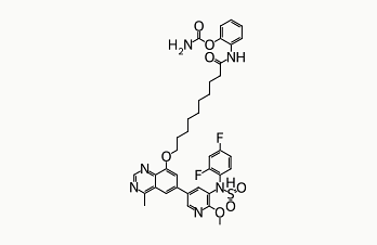 COc1ncc(-c2cc(OCCCCCCCCCC(=O)Nc3ccccc3OC(N)=O)c3ncnc(C)c3c2)cc1N(c1ccc(F)cc1F)[SH](=O)=O